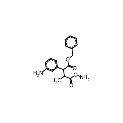 CC(C(=O)ON)C(C(=O)OCc1ccccc1)c1cccc(N)c1